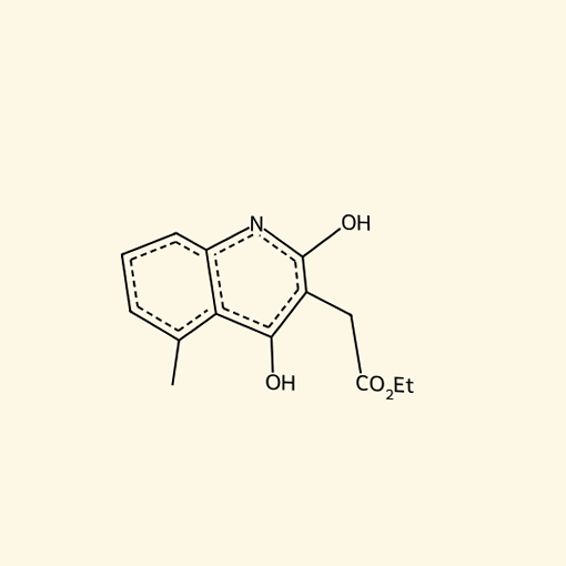 CCOC(=O)Cc1c(O)nc2cccc(C)c2c1O